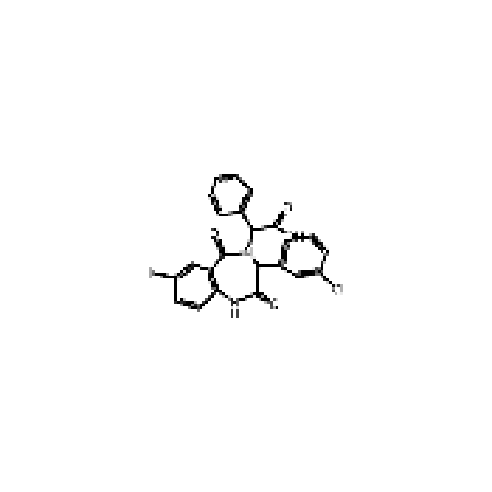 O=C(O)C(c1ccccc1)N1C(=O)c2cc(I)ccc2NC(=O)C1c1cccc(Cl)c1